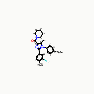 COc1ccc(-n2c(-c3ccc(C#N)c(F)c3)nc(C(=O)N3CCCCC3)c2C)cc1